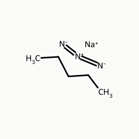 CCCCC.[N-]=[N+]=[N-].[Na+]